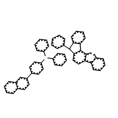 c1ccc(N(c2ccc(-c3ccc4ccccc4c3)cc2)c2cccc([C@]3(c4ccccc4)c4ccccc4-c4c3ccc3c4oc4ccccc43)c2)cc1